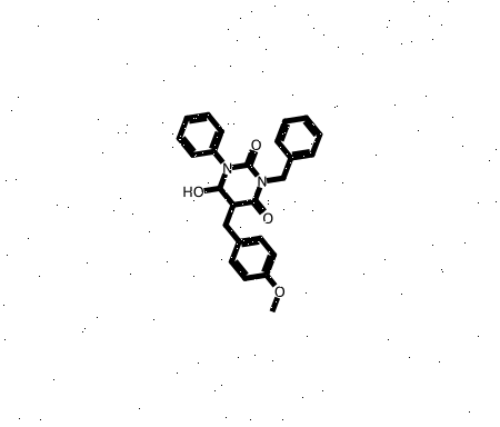 COc1ccc(CC2C(=O)N(Cc3ccccc3)C(=O)N(c3ccccc3)C2O)cc1